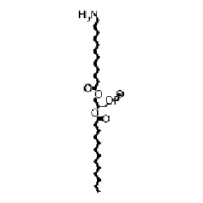 CCCCCCCCCCCCC(=O)O[C@H](COP=O)COC(=O)CCCCCCCCCCCN